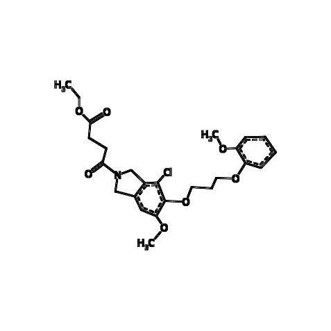 CCOC(=O)CCC(=O)N1Cc2cc(OC)c(OCCCOc3ccccc3OC)c(Cl)c2C1